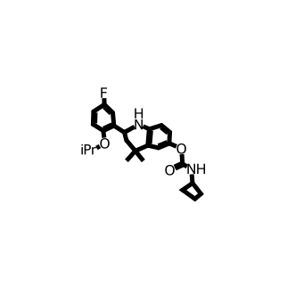 CC(C)Oc1ccc(F)cc1C1CC(C)(C)c2cc(OC(=O)NC3CCC3)ccc2N1